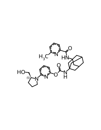 Cc1cccc(C(=O)NC23CC4CC(CC(NC(=O)Oc5cccc(N6CCC[C@H]6CO)n5)(C4)C2)C3)n1